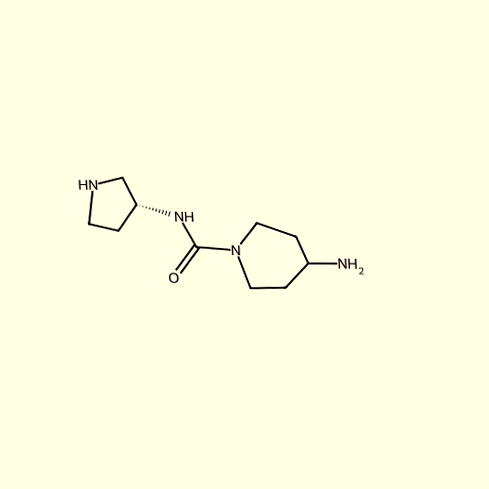 NC1CCN(C(=O)N[C@@H]2CCNC2)CC1